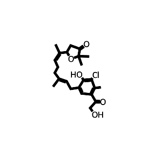 C/C(=C/CC/C(C)=C/Cc1cc(C(=O)CO)c(C)c(Cl)c1O)C1CC(=O)C(C)(C)O1